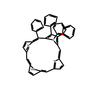 C1=Cc2cc3c(-c4ccccc4)c(-c4ccccc4)c(c(-c4ccccc4)c4nc(cc5ccc(cc1n2)[nH]5)C=C4)n3-c1ccccc1